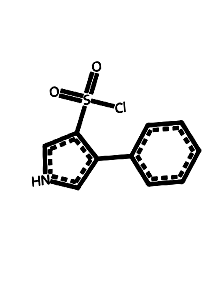 O=S(=O)(Cl)c1c[nH]cc1-c1ccccc1